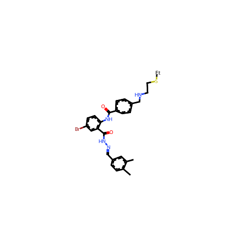 CCSCCNCc1ccc(C(=O)Nc2ccc(Br)cc2C(=O)NN=Cc2ccc(C)c(C)c2)cc1